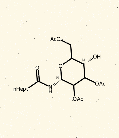 CCCCCCCC(=O)N[C@@H]1OC(COC(C)=O)[C@H](O)C(OC(C)=O)C1OC(C)=O